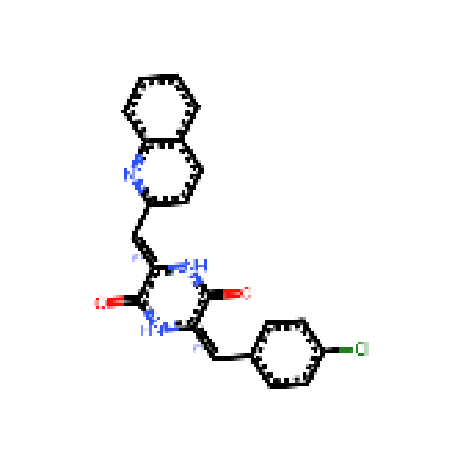 O=c1[nH]/c(=C/c2ccc(Cl)cc2)c(=O)[nH]/c1=C\c1ccc2ccccc2n1